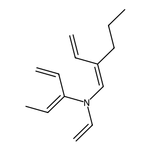 C=C/C(=C\N(C=C)/C(C=C)=C/C)CCC